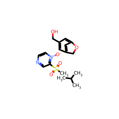 CC(C)C.CS(=O)(=O)c1cncc[n+]1[O-].OCc1cc2cc(c1)OC2